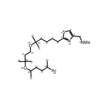 CNCc1csc(CCCCC(C)(C)OCCC(C)(C)OC(C)CCC(C)C(C)=O)n1